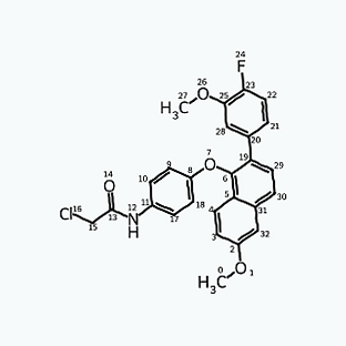 COc1ccc2c(Oc3ccc(NC(=O)CCl)cc3)c(-c3ccc(F)c(OC)c3)ccc2c1